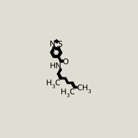 CC(C)=CCCC(C)=CCNC(=O)c1ccc2ncsc2c1